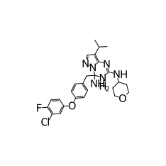 CC(C)c1cnn2c1N=C(NC1CCOCC1)NC2(N)Cc1ccc(Oc2ccc(F)c(Cl)c2)cc1